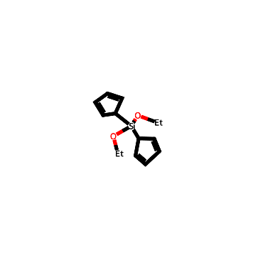 CCO[Si](OCC)(C1C=CC=C1)C1C=CC=C1